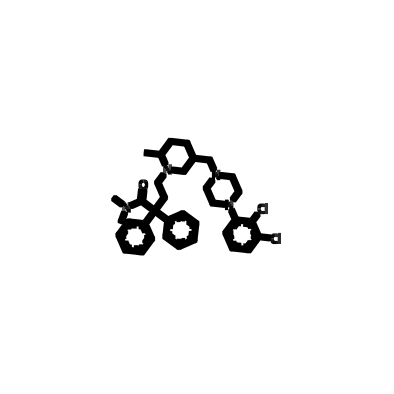 CC1CCC(CN2CCN(c3cccc(Cl)c3Cl)CC2)CN1CCC(C(=O)N(C)C)(c1ccccc1)c1ccccc1